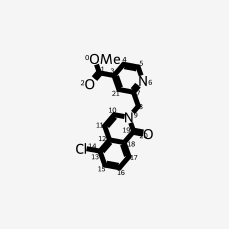 COC(=O)c1ccnc(Cn2ccc3c(Cl)cccc3c2=O)c1